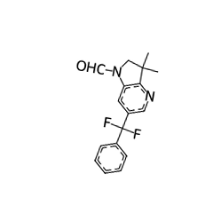 CC1(C)CN(C=O)c2cc(C(F)(F)c3ccccc3)cnc21